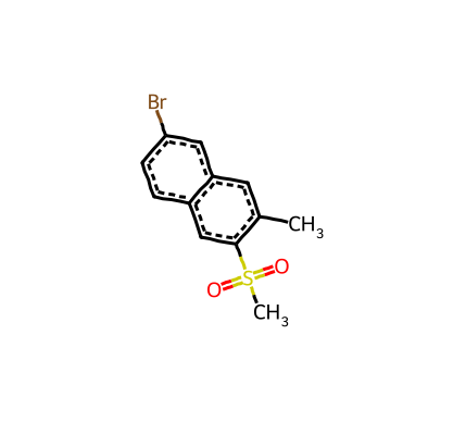 Cc1cc2cc(Br)ccc2cc1S(C)(=O)=O